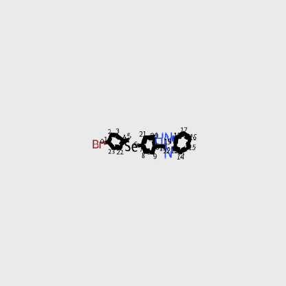 Brc1ccc(C[Se]c2ccc(-c3nc4ccccc4[nH]3)cc2)cc1